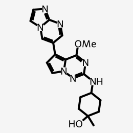 COc1nc(NC2CCC(C)(O)CC2)nn2ccc(-c3cnc4nccn4c3)c12